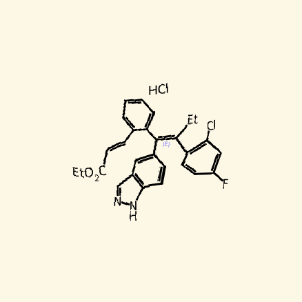 CCOC(=O)C=Cc1ccccc1/C(=C(\CC)c1ccc(F)cc1Cl)c1ccc2[nH]ncc2c1.Cl